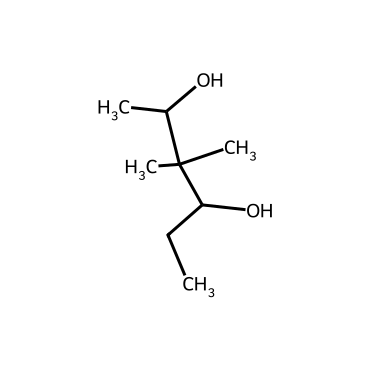 CCC(O)C(C)(C)C(C)O